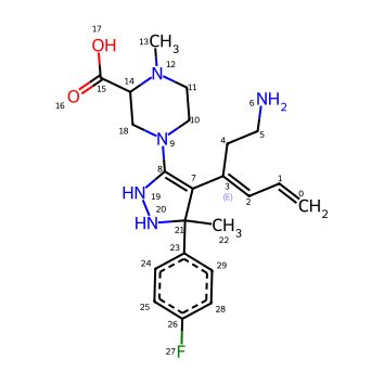 C=C/C=C(\CCN)C1=C(N2CCN(C)C(C(=O)O)C2)NNC1(C)c1ccc(F)cc1